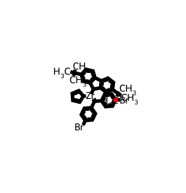 CC(C)(C)c1ccc2c(c1)[CH]([Zr](=[C](c1ccc(Br)cc1)c1ccc(Br)cc1)[CH]1C=CC=C1)c1cc(C(C)(C)C)ccc1-2